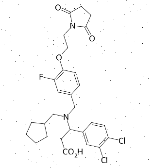 O=C(O)CC(c1ccc(Cl)c(Cl)c1)N(Cc1ccc(OCCN2C(=O)CCC2=O)c(F)c1)CC1CCCC1